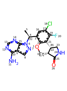 CCOc1c([C@H](C)n2ncc3c(N)ncnc32)cc(Cl)c(F)c1[C@@H]1CNC(=O)C1